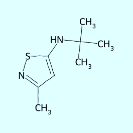 Cc1cc(NC(C)(C)C)sn1